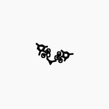 Cc1cc(C)c(S(=O)(=O)OCC2CC2COS(=O)(=O)c2c(C)cc(C)cc2C)c(C)c1